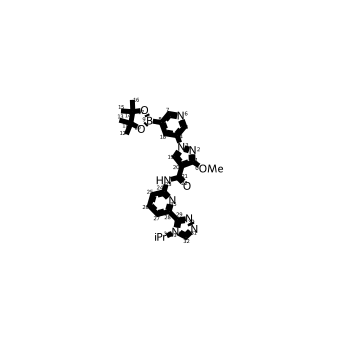 COc1nn(-c2cncc(B3OC(C)(C)C(C)(C)O3)c2)cc1C(=O)Nc1cccc(-c2nncn2C(C)C)n1